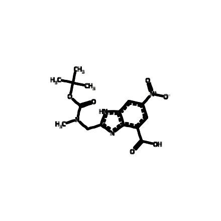 CN(Cc1nc2c(C(=O)O)cc([N+](=O)[O-])cc2[nH]1)C(=O)OC(C)(C)C